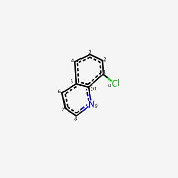 Clc1cc[c]c2cccnc12